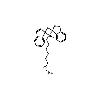 CC(C)(C)OCCCCCC[Si]1(C)C2(C=Cc3ccccc32)CC12C=Cc1ccccc12